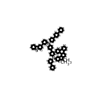 CC1(C)c2ccc(N(c3ccc(-c4ccc(N(c5ccc(-c6ccc(-c7ccccc7)cc6)cc5)c5cccc(-c6ccc7sc8ccccc8c7c6)c5)cc4)cc3)c3cccc(-c4ccccc4)c3)cc2-c2c1ccc1c3ccccc3c3ccccc3c21